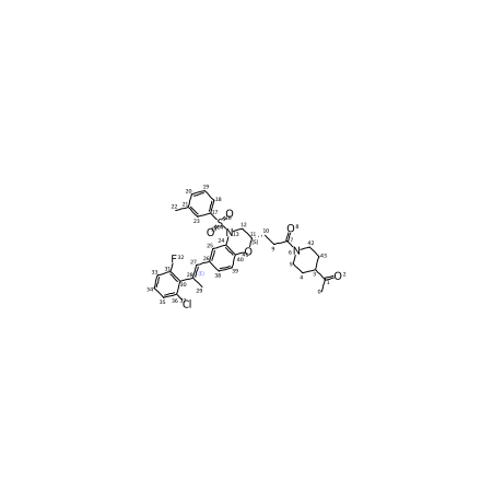 CC(=O)C1CCN(C(=O)CC[C@H]2CN(S(=O)(=O)c3cccc(C)c3)c3cc(/C=C(\C)c4c(F)cccc4Cl)ccc3O2)CC1